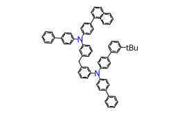 CC(C)(C)c1cccc(-c2ccc(N(c3ccc(-c4ccccc4)cc3)c3cccc(Cc4cccc(N(c5ccc(-c6ccccc6)cc5)c5ccc(-c6cccc7ccccc67)cc5)c4)c3)cc2)c1